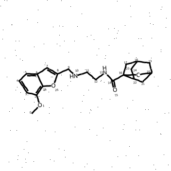 COc1cccc2cc(CNCCNC(=O)C34CC5CC(CC3C5)C4)oc12